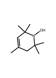 CC1=CC(C)(C)N(O)C(C)(C)C1